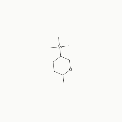 CC1CC[CH]([Sn]([CH3])([CH3])[CH3])CO1